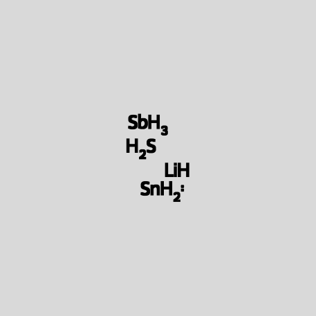 S.[LiH].[SbH3].[SnH2]